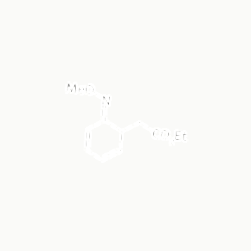 CCOC(=O)CC1C=CC=CC1=NOC